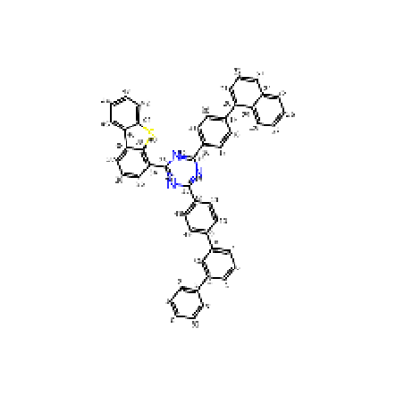 c1ccc(-c2cccc(-c3ccc(-c4nc(-c5ccc(-c6cccc7ccccc67)cc5)nc(-c5cccc6c5sc5ccccc56)n4)cc3)c2)cc1